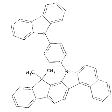 CC1(C)c2ccccc2-c2ccc3c4c5ccccc5ccc4n(-c4ccc(-n5c6ccccc6c6ccccc65)cc4)c3c21